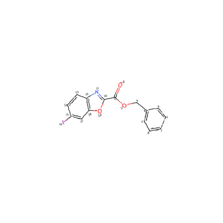 O=C(OCc1ccccc1)c1nc2ccc(I)cc2o1